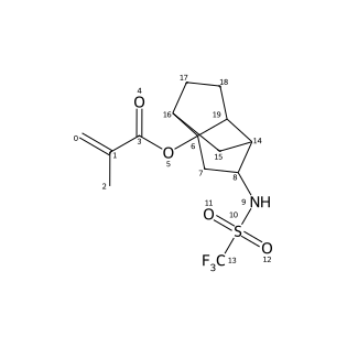 C=C(C)C(=O)OC12CC(NS(=O)(=O)C(F)(F)F)C3CC1CCC32